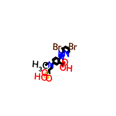 CCN(CCCS(=O)(=O)O)c1ccc(N=Nc2ncc(Br)cc2Br)c(C(=O)O)c1